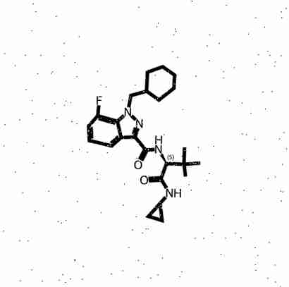 CC(C)(C)[C@H](NC(=O)c1nn(CC2CCCCC2)c2c(F)cccc12)C(=O)NC1CC1